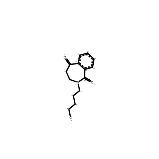 O=C1CCN(CCCCCl)C(=O)c2ccccc21